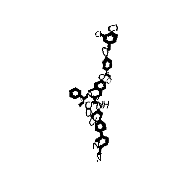 CC[C@@H](c1ccccc1)N1Cc2cc3c(cc2C[C@H]1C(=O)NC(Cc1ccc(-c2ccc(C#N)nc2)cc1)C(=O)O)OC[C@H](c1ccc(OCc2ccc(Cl)c(Cl)c2)cc1)O3